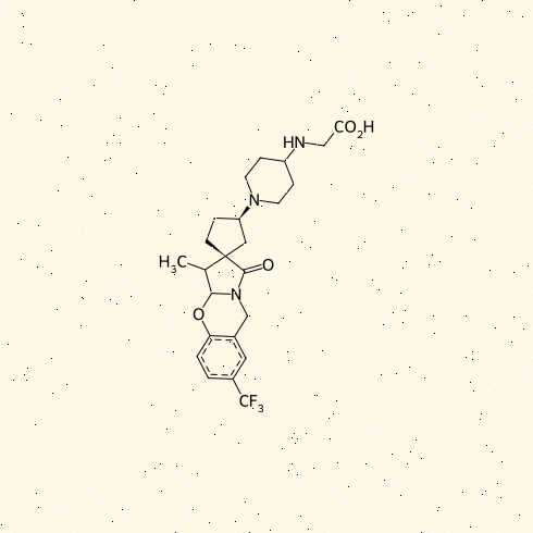 CC1C2Oc3ccc(C(F)(F)F)cc3CN2C(=O)[C@]12CC[C@@H](N1CCC(NCC(=O)O)CC1)C2